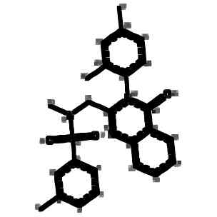 Cc1cccc(S(=O)(=O)N(C)Cc2nc3ccccc3c(=O)n2-c2ccc(C)cc2C)c1